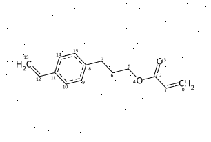 C=CC(=O)OCCCc1ccc(C=C)cc1